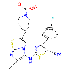 CCc1nc2sc(C3CCN(C(=O)O)CC3)cn2c1Nc1nc(-c2ccc(F)cc2)c(C#N)s1